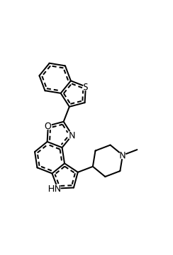 CN1CCC(c2c[nH]c3ccc4oc(-c5csc6ccccc56)nc4c23)CC1